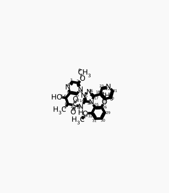 COc1cnc(C(O)C(C)S(=O)(=O)Nc2nnc(-c3cccnc3)n2-c2c(OC)cccc2OC)cn1